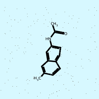 CC(=O)Nc1ccc2ccc(C)cc2c1